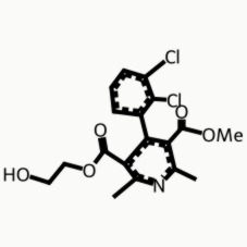 COC(=O)c1c(C)nc(C)c(C(=O)OCCO)c1-c1cccc(Cl)c1Cl